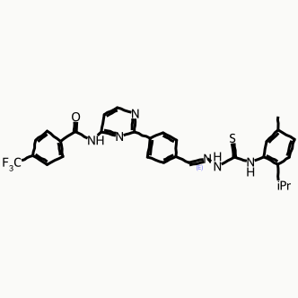 Cc1ccc(C(C)C)c(NC(=S)N/N=C/c2ccc(-c3nccc(NC(=O)c4ccc(C(F)(F)F)cc4)n3)cc2)c1